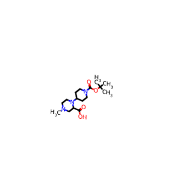 CN1CCN(C2CCN(C(=O)OC(C)(C)C)CC2)C(C(=O)O)C1